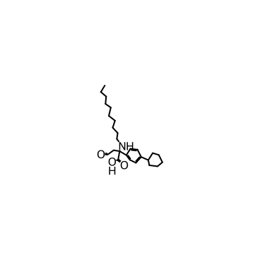 CCCCCCCCCCNC(CC=O)(C(=O)O)c1ccc(C2CCCCC2)cc1